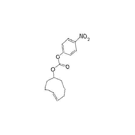 O=C(Oc1ccc([N+](=O)[O-])cc1)OC1CC/C=C/CCC1